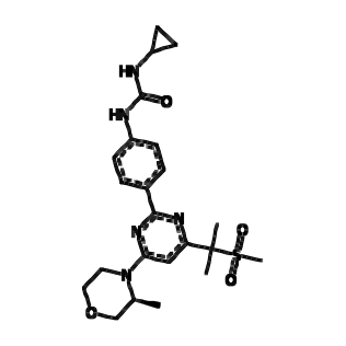 C[C@H]1COCCN1c1cc(C(C)(C)S(C)(=O)=O)nc(-c2ccc(NC(=O)NC3CC3)cc2)n1